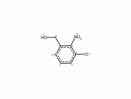 O=[N+]([O-])c1c(Cl)ccnc1CO